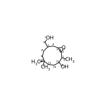 CC1C2=C(CC(CO)CCC(C)(C)CCC1O)O2